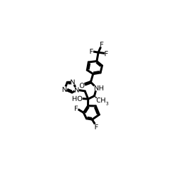 C[C@@H](NC(=O)c1ccc(C(F)(F)F)cc1)C(O)(Cn1cncn1)c1ccc(F)cc1F